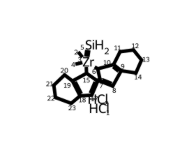 Cl.Cl.[CH3][Zr]([CH3])(=[SiH2])([CH]1C=CC2=C1CCCC2)[CH]1C=CC2=C1CCCC2